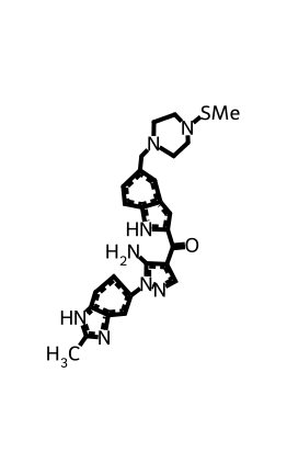 CSN1CCN(Cc2ccc3[nH]c(C(=O)c4cnn(-c5ccc6[nH]c(C)nc6c5)c4N)cc3c2)CC1